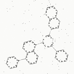 c1ccc(-c2nc(-c3ccc4ccccc4c3)nc(-c3cccc4c(-c5ccccc5)cccc34)n2)cc1